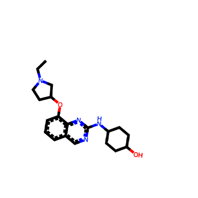 CCN1CCC(Oc2cccc3cnc(NC4CCC(O)CC4)nc23)C1